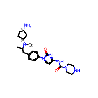 CCN(C(C)Cc1ccc(-n2ccc(NC(=O)N3CCNCC3)nc2=O)cc1)[C@H]1CC[C@H](N)C1